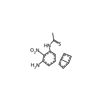 CC(=S)Nc1cccc(N)c1[N+](=O)[O-].c1cc2ccc1-2